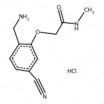 CNC(=O)COc1cc(C#N)ccc1CN.Cl